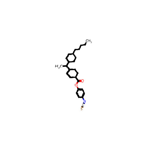 CCCCCC1CCC(C(C)C2CCC(C(=O)Oc3ccc(N=C=S)cc3)CC2)CC1